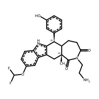 C[C@@]12Cc3c([nH]c4ccc(OC(F)F)cc34)[C@@H](c3cccc(O)c3)C1CCC(=O)N(CCN)C2=O